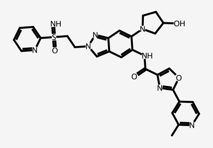 Cc1cc(-c2nc(C(=O)Nc3cc4cn(CCS(=N)(=O)c5ccccn5)nc4cc3N3CCC(O)C3)co2)ccn1